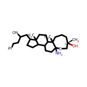 CC(C)CCC(CC1CCC2C3CCC4(N)CC[C@@](C)(O)CCCC4(C)C3CCC12C)N=O